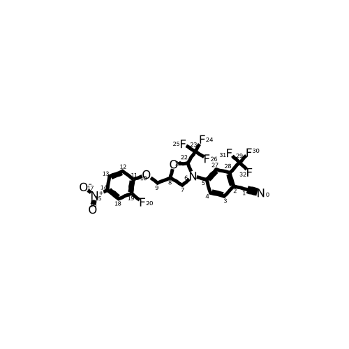 N#Cc1ccc(N2CC(COc3ccc([N+](=O)[O-])cc3F)OC2C(F)(F)F)cc1C(F)(F)F